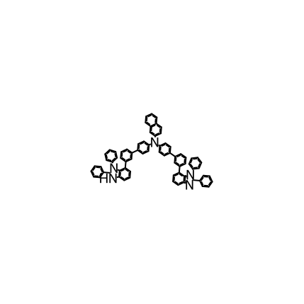 c1ccc(-c2nc3cccc(-c4cccc(-c5ccc(N(c6ccc(-c7cccc(-c8cccc9c8N(c8ccccc8)C(c8ccccc8)N9)c7)cc6)c6ccc7ccccc7c6)cc5)c4)c3n2-c2ccccc2)cc1